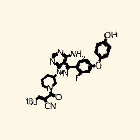 CC(C)(C)C=C(C#N)C(=O)N1CCCC(n2nc(-c3ccc(Oc4ccc(O)cc4)cc3F)c3c(N)ncnc32)C1